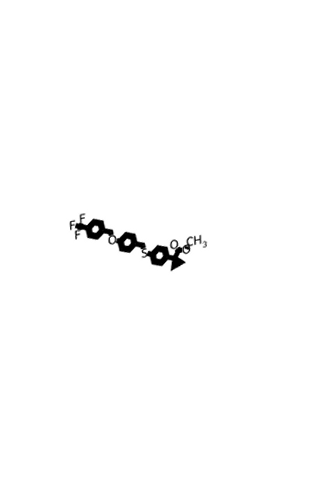 COC(=O)C1(c2ccc(SCc3ccc(OCc4ccc(C(F)(F)F)cc4)cc3)cc2)CC1